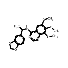 COc1cc2c(NC(C)c3ccc4c(c3)OCO4)ncnc2c(OC)c1OC